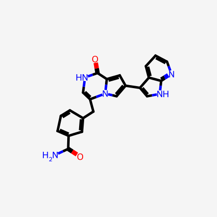 NC(=O)c1cccc(Cc2c[nH]c(=O)c3cc(-c4c[nH]c5ncccc45)cn23)c1